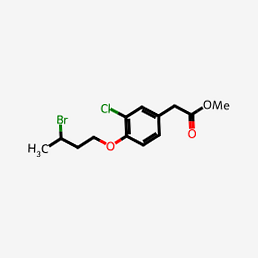 COC(=O)Cc1ccc(OCCC(C)Br)c(Cl)c1